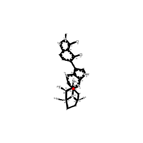 Cn1nc2ccc(-c3c[nH]c4nc(N5[C@H]6CC[C@@H]5[C@@H](F)[C@@H](N)C6)cnc34)c(Cl)c2c1Cl